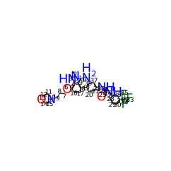 Nc1n[nH]c2c(OCCCN3CCOCC3)ccc(-c3ccc(NC(=O)Nc4cccc(C(F)(F)F)c4)cc3)c12